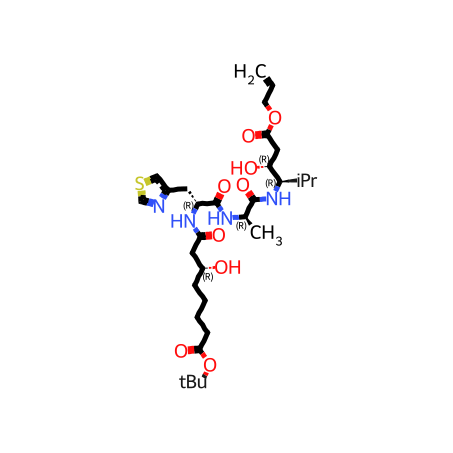 C=CCOC(=O)C[C@@H](O)[C@H](NC(=O)[C@@H](C)NC(=O)[C@@H](Cc1cscn1)NC(=O)C[C@H](O)CCCCC(=O)OC(C)(C)C)C(C)C